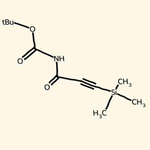 CC(C)(C)OC(=O)NC(=O)C#C[Si](C)(C)C